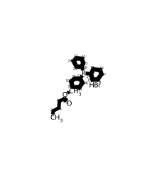 Br.CCCCC(=O)OC.c1ccc(P(c2ccccc2)c2ccccc2)cc1